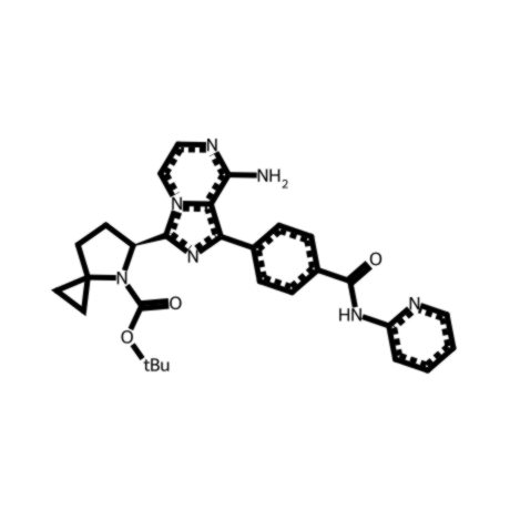 CC(C)(C)OC(=O)N1[C@H](c2nc(-c3ccc(C(=O)Nc4ccccn4)cc3)c3c(N)nccn23)CCC12CC2